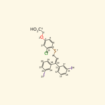 O=C(O)COc1ccc(SCC=C(c2cccc(I)c2)c2cccc(I)c2)c(Cl)c1